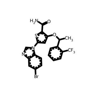 CC(Oc1cc(-n2cnc3cc(Br)ccc32)sc1C(N)=O)c1ccccc1C(F)(F)F